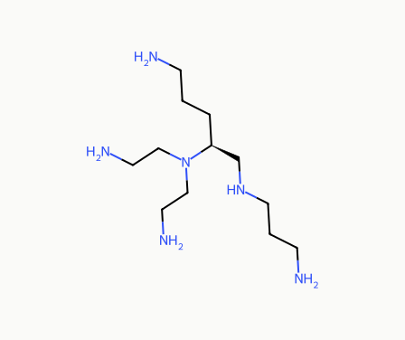 NCCCNC[C@H](CCCN)N(CCN)CCN